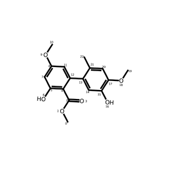 COC(=O)c1c(O)cc(OC)cc1-c1cc(O)c(OC)cc1C